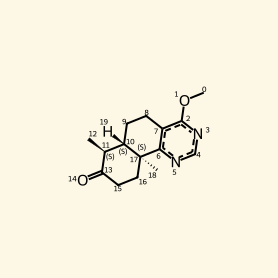 COc1ncnc2c1CC[C@H]1[C@H](C)C(=O)CC[C@]21C